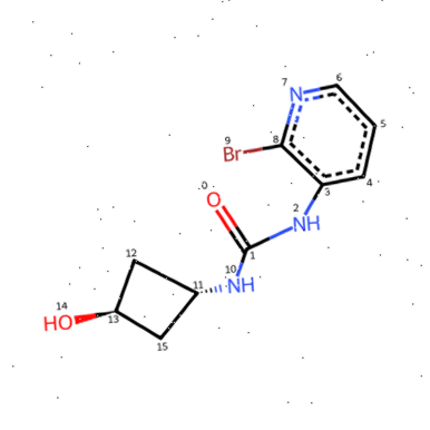 O=C(Nc1cccnc1Br)N[C@H]1C[C@H](O)C1